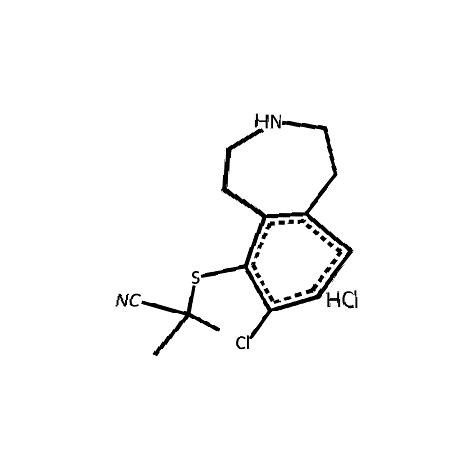 CC(C)(C#N)Sc1c(Cl)ccc2c1CCNCC2.Cl